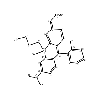 CNC=c1ccc2c(c1)[Si](C)(CCCI)c1cc(N(C)C)ccc1C=2c1ccccc1C